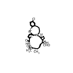 C[C@@H]1[C@@H](C)C/C=C/[C@@](O)(C=O)[C@@H]2CC[C@H]2CN2CCCCc3cc(Cl)ccc3COc3ccc(cc32)C(=O)NS1(=O)=O